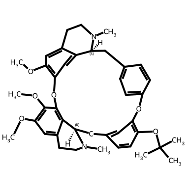 COc1cc2c3cc1Oc1c(OC)c(OC)cc4c1[C@@H](Cc1ccc(OC(C)(C)C)c(c1)Oc1ccc(cc1)C[C@@H]3N(C)CC2)N(C)CC4